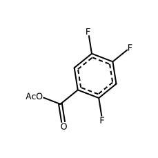 CC(=O)OC(=O)c1cc(F)c(F)cc1F